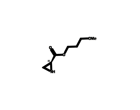 COCCCOC(=O)[C@@H]1CN1